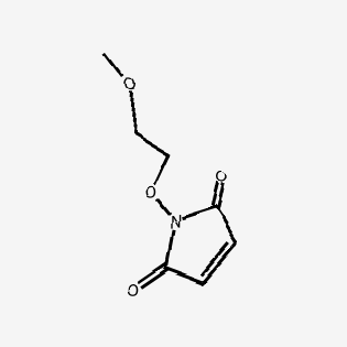 COCCON1C(=O)C=CC1=O